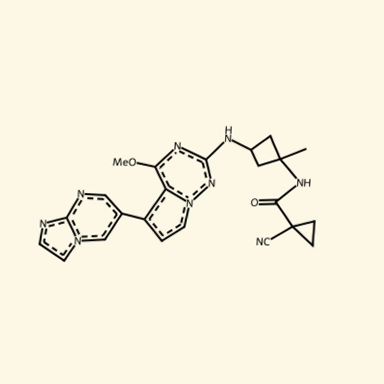 COc1nc(NC2CC(C)(NC(=O)C3(C#N)CC3)C2)nn2ccc(-c3cnc4nccn4c3)c12